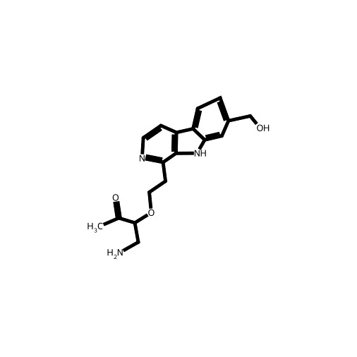 CC(=O)C(CN)OCCc1nccc2c1[nH]c1cc(CO)ccc12